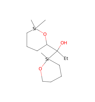 CCC(O)(C1CCC[Si](C)(C)O1)[Si]1(C)CCCCO1